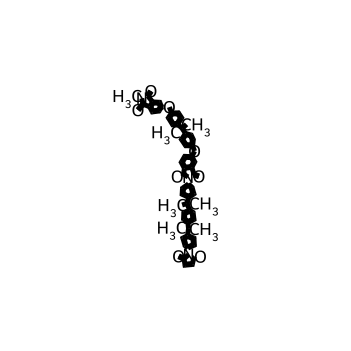 CN1C(=O)c2ccc(Oc3ccc(C(C)(C)c4ccc(Oc5ccc6c(c5)C(=O)N(c5ccc(C(C)(C)c7ccc(C(C)(C)c8ccc(N9C(=O)C=CC9=O)cc8)cc7)cc5)C6=O)cc4)cc3)cc2C1=O